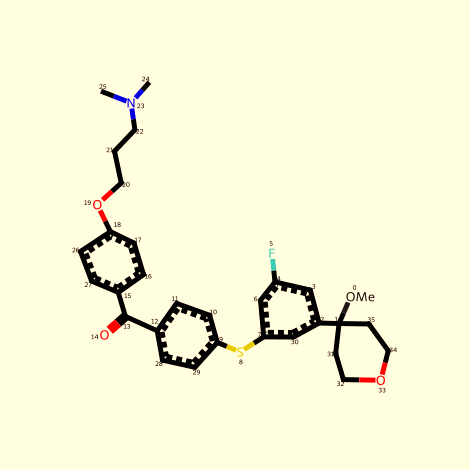 COC1(c2cc(F)cc(Sc3ccc(C(=O)c4ccc(OCCCN(C)C)cc4)cc3)c2)CCOCC1